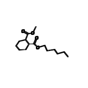 CCCCCCOC(=O)C1CCCCC1C(=O)OC